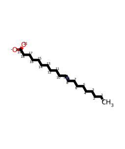 CCCCCCCC/C=C/CCCCCCCCCC([O])=O